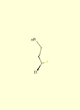 CCCCC[C@@H](F)CC